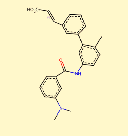 Cc1ccc(NC(=O)c2cccc(N(C)C)c2)cc1-c1cccc(/C=C/C(=O)O)c1